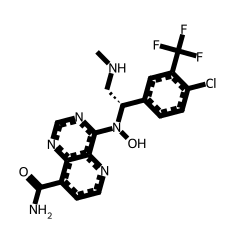 CNC[C@H](c1ccc(Cl)c(C(F)(F)F)c1)N(O)c1ncnc2c(C(N)=O)ccnc12